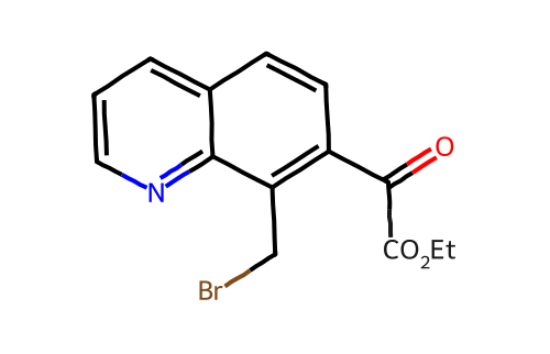 CCOC(=O)C(=O)c1ccc2cccnc2c1CBr